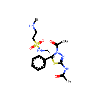 CCCC(=O)NC1=NN(C(=O)C(C)(C)C)[C@](CNS(=O)(=O)CCNCC)(c2ccccc2)S1